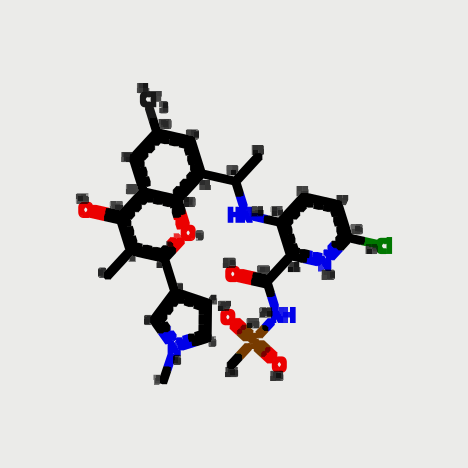 Cc1c(-c2ccn(C)c2)oc2c(C(C)Nc3ccc(Cl)nc3C(=O)NS(C)(=O)=O)cc(C(F)(F)F)cc2c1=O